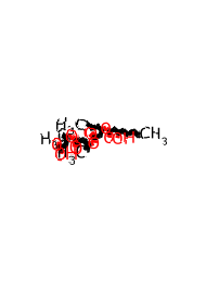 CCCCCC(O)CC(=O)OC(CCCC)CC(=O)OC(CC)CC(=O)OC(C)CC(=O)O